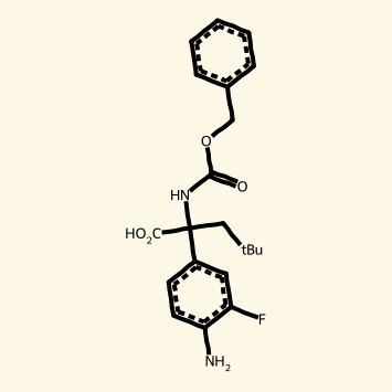 CC(C)(C)CC(NC(=O)OCc1ccccc1)(C(=O)O)c1ccc(N)c(F)c1